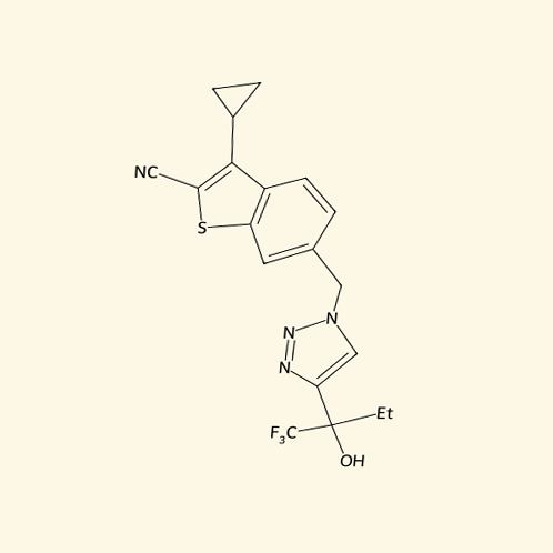 CCC(O)(c1cn(Cc2ccc3c(C4CC4)c(C#N)sc3c2)nn1)C(F)(F)F